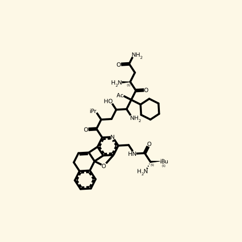 CC[C@H](C)[C@H](N)C(=O)NCc1nc(C(=O)C(CC(O)C(N)C(C(C)=O)(C(=O)[C@@H](N)CC(N)=O)C2CCCCC2)C(C)C)c2c3c1OC31C2=CCc2ccccc21